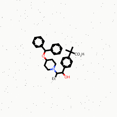 CCC(C(O)c1ccc(C(C)(C)C(=O)O)cc1)N1CCC(OC(c2ccccc2)c2ccccc2)CC1